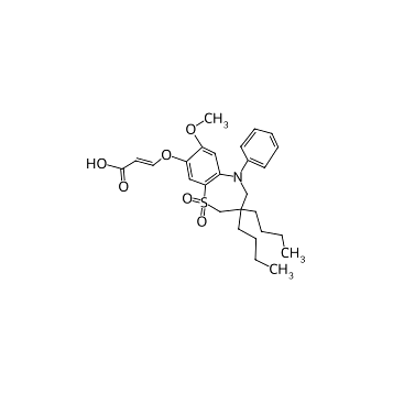 CCCCC1(CCCC)CN(c2ccccc2)c2cc(OC)c(OC=CC(=O)O)cc2S(=O)(=O)C1